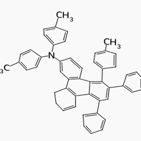 Cc1ccc(-c2c(-c3ccccc3)cc(-c3ccccc3)c3c4c(c5cc(N(c6ccc(C)cc6)c6ccc(C)cc6)ccc5c23)CCC=C4)cc1